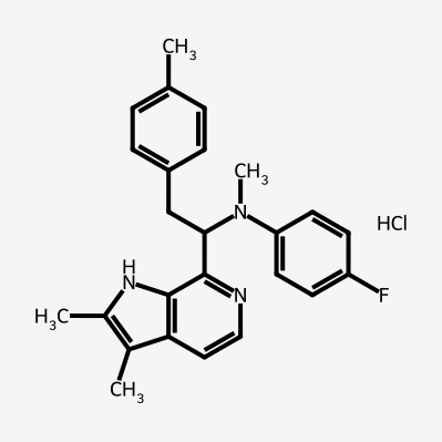 Cc1ccc(CC(c2nccc3c(C)c(C)[nH]c23)N(C)c2ccc(F)cc2)cc1.Cl